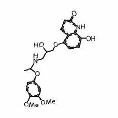 COc1ccc(OC(C)NCC(O)COc2ccc(O)c3[nH]c(=O)ccc23)cc1OC